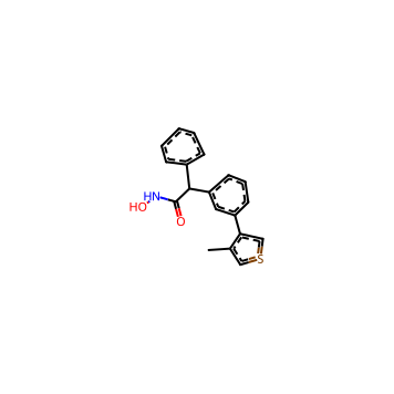 Cc1cscc1-c1cccc(C(C(=O)NO)c2ccccc2)c1